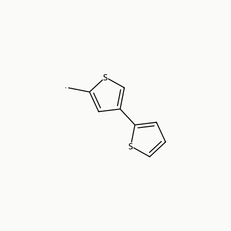 [CH2]c1cc(-c2cccs2)cs1